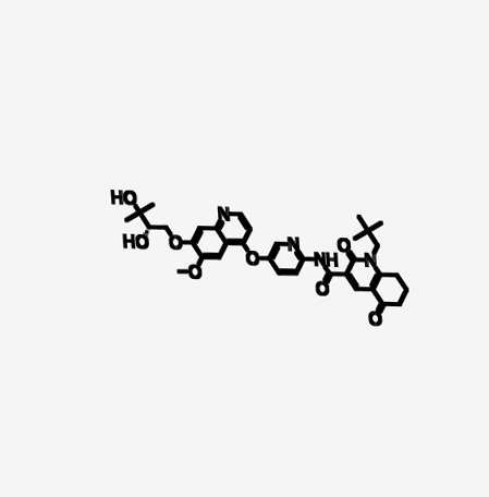 COc1cc2c(Oc3ccc(NC(=O)c4cc5c(n(CC(C)(C)C)c4=O)CCCC5=O)nc3)ccnc2cc1OC[C@H](O)C(C)(C)O